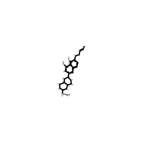 C/C=C/CCc1ccc2cc(C3CCC4CC(CCCCCCC)CCC4C3)cc(F)c2c1F